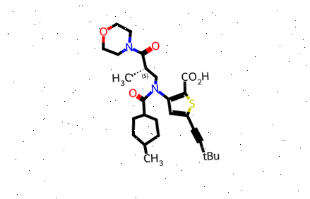 CC1CCC(C(=O)N(C[C@H](C)C(=O)N2CCOCC2)c2cc(C#CC(C)(C)C)sc2C(=O)O)CC1